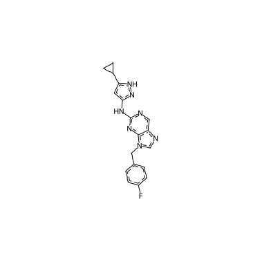 Fc1ccc(Cn2cnc3cnc(Nc4cc(C5CC5)[nH]n4)nc32)cc1